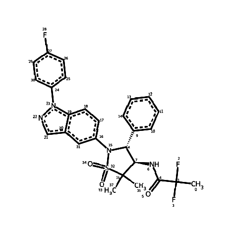 CC(F)(F)C(=O)N[C@@H]1[C@@H](c2ccccc2)N(c2ccc3c(cnn3-c3ccc(F)cc3)c2)S(=O)(=O)C1(C)C